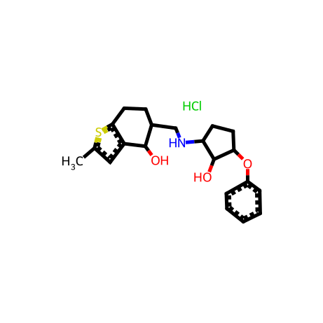 Cc1cc2c(s1)CCC(CNC1CCC(Oc3ccccc3)C1O)C2O.Cl